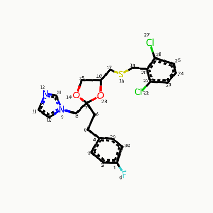 Fc1ccc(CCC2(Cn3ccnc3)OCC(CSCc3c(Cl)cccc3Cl)O2)cc1